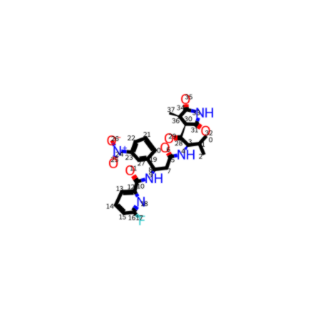 CC(C)[C@@H](NC(=O)CC(NC(=O)c1cccc(F)n1)c1cccc([N+](=O)[O-])c1)C(=O)[C@@H]1C(=O)NC(=O)[C@@H]1C